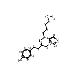 CCCCCCOC(CCc1ccc(F)cc1)Cn1ccnc1